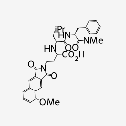 CNC(=O)[C@H](Cc1ccccc1)NC(=O)[C@H](CC(C)C)NC(CCN1C(=O)c2cc3cccc(OC)c3cc2C1=O)C(=O)O